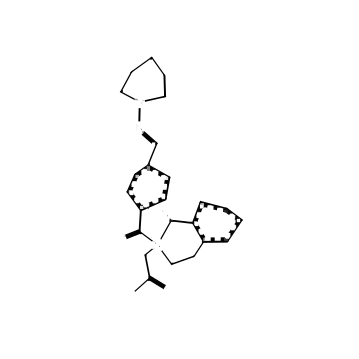 NC1c2ccccc2CC[N+]1(CC(=O)O)C(=O)c1ccc(C=NN2CCCCC2)cc1